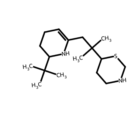 CC(C)(C)C1CCC=C(CC(C)(C)C2CCNCS2)N1